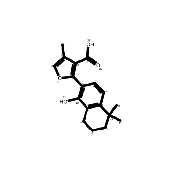 Cc1coc(-c2ccc3c(c2O)CCCC3(C)C)c1C(=O)O